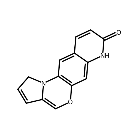 O=c1ccc2cc3c(cc2[nH]1)OC=C1C=CCN13